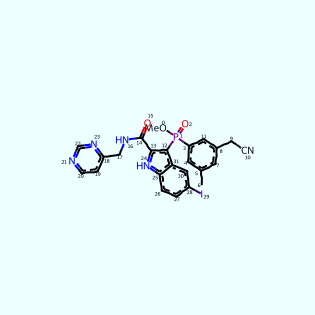 COP(=O)(c1cc(C)cc(CC#N)c1)c1c(C(=O)NCc2ccncn2)[nH]c2ccc(I)cc12